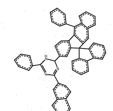 c1ccc(C2=NC(c3ccc4ccccc4c3)=NC(c3ccc4c(c3)C3(c5ccccc5-c5ccccc53)c3cc5ccccc5c(-c5ccccc5)c3-4)N2)cc1